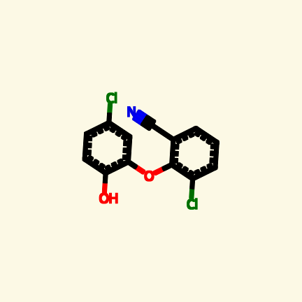 N#Cc1cccc(Cl)c1Oc1cc(Cl)ccc1O